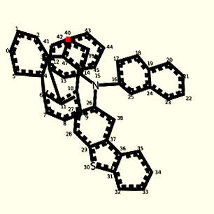 c1ccc2c(c1)-c1cccc3c1-c1cc(N(c4ccc5ccccc5c4)c4ccc5sc6ccccc6c5c4)ccc1-c1cccc-3c1-2